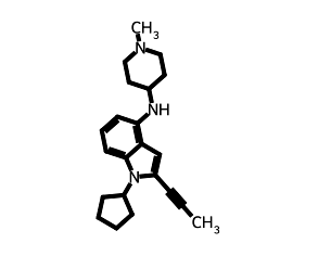 CC#Cc1cc2c(NC3CCN(C)CC3)cccc2n1C1CCCC1